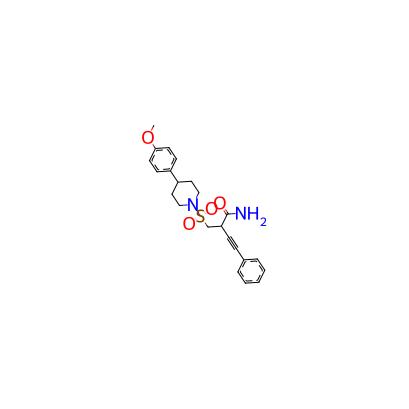 COc1ccc(C2CCN(S(=O)(=O)CC(C#Cc3ccccc3)C(N)=O)CC2)cc1